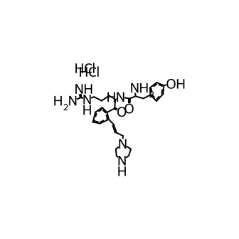 Cl.Cl.N=C(N)NCCC[C@@H](NC(=O)C(N)Cc1ccc(O)cc1)C(=O)c1ccccc1/C=C/CN1CCNCC1